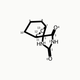 O=C1NC(=O)C2(N1)C1CCCC2CC1